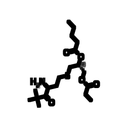 CCCCC(=O)O[C@H](COC(=O)CC)CSCCC(N)C(=O)C(C)(C)C